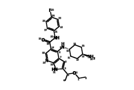 CCOC(C)c1cc2c(N[C@H]3CC[C@H](N)CC3)c(C(=O)Nc3ccc(F)cc3)cnc2[nH]1